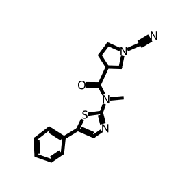 CN(C(=O)C1CCN(C#N)C1)c1ncc(-c2ccccc2)s1